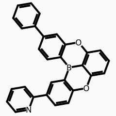 c1ccc(-c2ccc3c(c2)Oc2cccc4c2B3c2cc(-c3ccccn3)ccc2O4)cc1